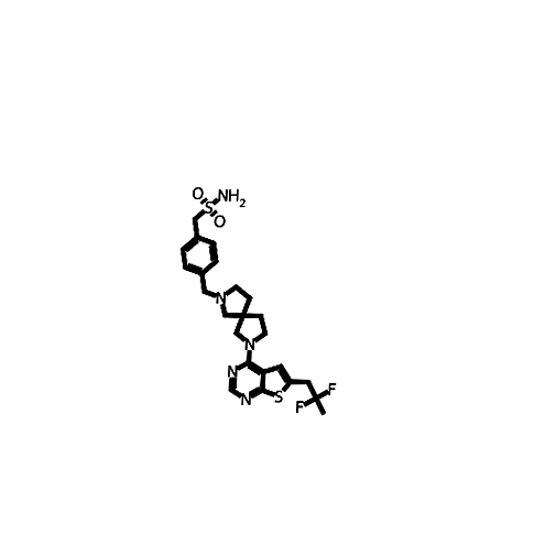 CC(F)(F)Cc1cc2c(N3CCC4(CCN(Cc5ccc(CS(N)(=O)=O)cc5)C4)C3)ncnc2s1